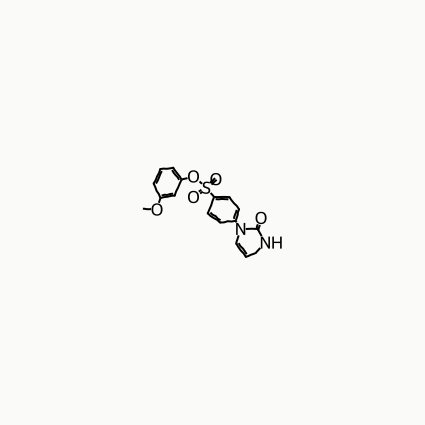 COc1cccc(OS(=O)(=O)c2ccc(N3C=CCNC3=O)cc2)c1